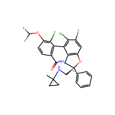 CC1(NC[C@@]2(c3ccccc3)Cc3c(cc(F)c(Cl)c3-c3c(C(N)=O)ccc(OC(F)F)c3F)O2)CC1